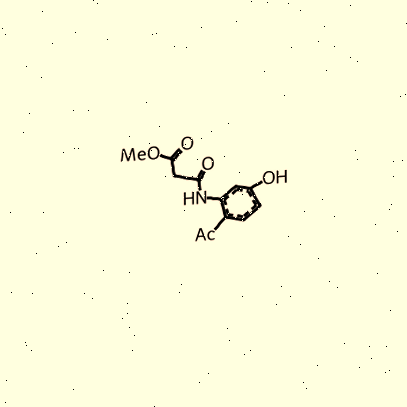 COC(=O)CC(=O)Nc1cc(O)ccc1C(C)=O